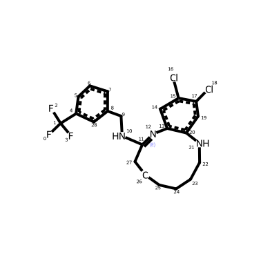 FC(F)(F)c1cccc(CN/C2=N/c3cc(Cl)c(Cl)cc3NCCCCCC2)c1